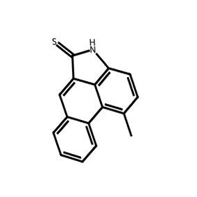 Cc1ccc2c3c(cc4ccccc4c13)C(=S)N2